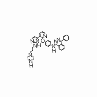 c1ccc(-c2nnc(Nc3ccc(Oc4ncccc4-c4ccnc(NCCCN5CCNCC5)n4)cc3)c3ccccc23)cc1